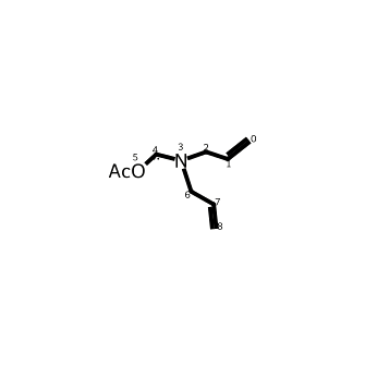 C=CCN([C]OC(C)=O)CC=C